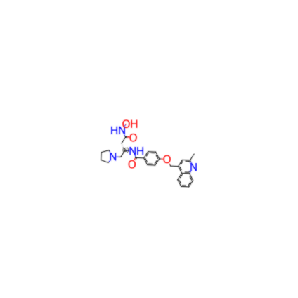 Cc1cc(COc2ccc(C(=O)N[C@@H](CC(=O)NO)CN3CCCC3)cc2)c2ccccc2n1